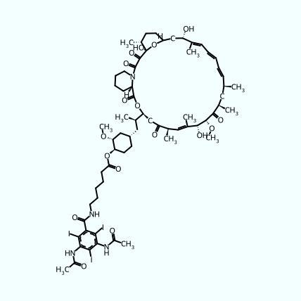 CO[C@@H]1C[C@H](C[C@@H](C)[C@@H]2CC(=O)[C@H](C)/C=C(\C)[C@@H](O)[C@@H](OC)C(=O)[C@H](C)C[C@H](C)/C=C/C=C/C=C(\C)[C@@H](O)C[C@@H]3CC[C@@H](C)[C@@](O)(O3)C(=O)C(=O)N3CCCC[C@H]3C(=O)O2)CC[C@H]1OC(=O)CCCCCNC(=O)c1c(I)c(NC(C)=O)c(I)c(NC(C)=O)c1I